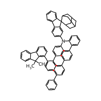 CC1(C)c2ccccc2-c2cccc(-c3ccccc3-c3ccc(N(c4ccc5c(c4)C4(c6ccccc6-5)C5CC6CC(C5)CC4C6)c4ccccc4-c4ccc(-c5ccc(-c6ccccc6)cc5)cc4)cc3)c21